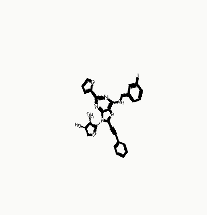 O[C@@H]1[C@H](O)CO[C@H]1n1c(C#Cc2ccccc2)nc2c(NCc3cccc(I)c3)nc(-c3ccco3)nc21